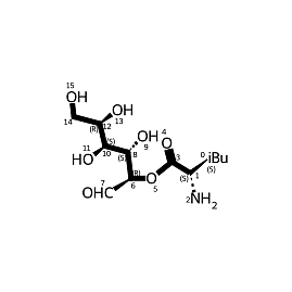 CC[C@H](C)[C@H](N)C(=O)O[C@@H](C=O)[C@@H](O)[C@@H](O)[C@H](O)CO